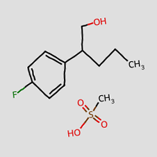 CCCC(CO)c1ccc(F)cc1.CS(=O)(=O)O